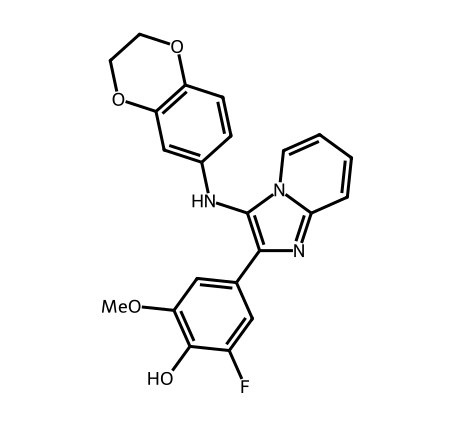 COc1cc(-c2nc3ccccn3c2Nc2ccc3c(c2)OCCO3)cc(F)c1O